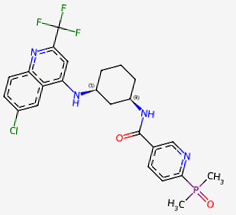 CP(C)(=O)c1ccc(C(=O)N[C@@H]2CCC[C@H](Nc3cc(C(F)(F)F)nc4ccc(Cl)cc34)C2)cn1